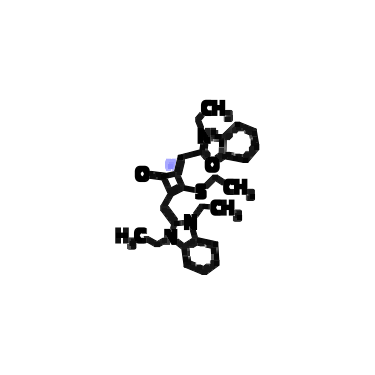 CCSC1=C(C=C2N(CC)c3ccccc3N2CC)C(=O)/C1=C/c1oc2ccccc2[n+]1CC